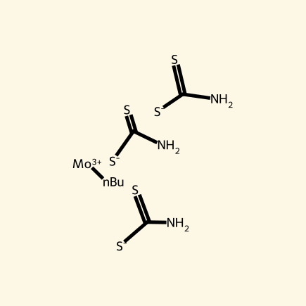 CCC[CH2][Mo+3].NC(=S)[S-].NC(=S)[S-].NC(=S)[S-]